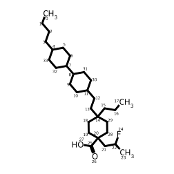 CCCCC1CCC(C2CCC(CCC3(CCC)CCC(CC(C)F)(C(=O)O)CC3)CC2)CC1